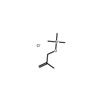 C=C(C)CO[N+](C)(C)C.[Cl-]